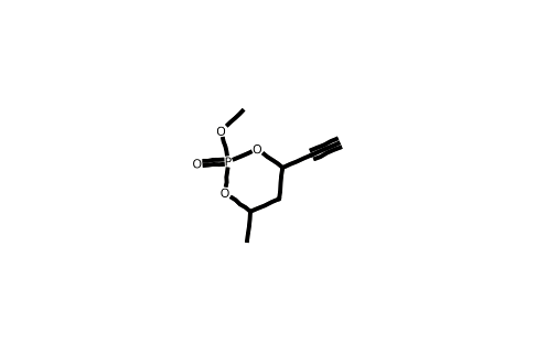 C#CC1CC(C)OP(=O)(OC)O1